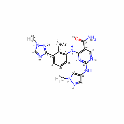 COc1c(Nc2nc(Nc3cnn(C)c3)ncc2C(N)=O)cccc1-c1ncn(C)n1